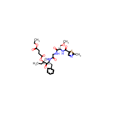 CCOC(=O)CCC(=O)O[C@](C)(CC)C(=O)[C@H](Cc1ccccc1)NC(=O)CNC(=O)[C@H](COC)NC(=O)c1cnc(C)s1